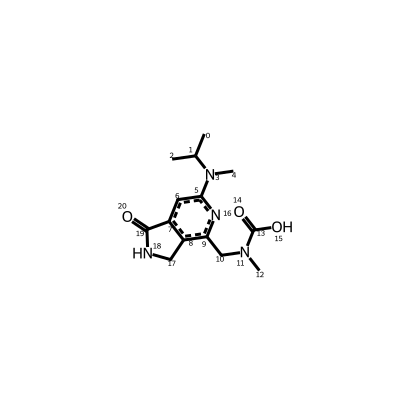 CC(C)N(C)c1cc2c(c(CN(C)C(=O)O)n1)CNC2=O